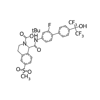 CC(C)(C)OC(=O)N1CCc2cc(S(C)(=O)=O)ccc2C1C(=O)Nc1ccc(-c2ccc(C(O)(C(F)(F)F)C(F)(F)F)cc2)c(F)c1